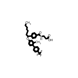 CCCCCCC(Oc1ccc(-c2ccc(C(F)(F)F)cc2)c(C)c1)c1ccc(C(=O)NCCC(=O)O)cc1